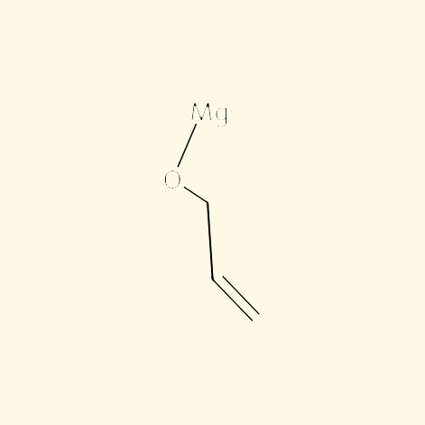 C=CC[O][Mg]